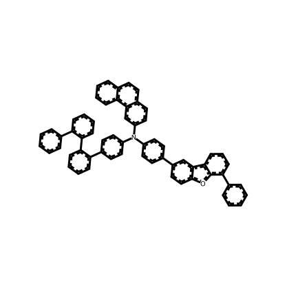 c1ccc(-c2ccccc2-c2ccccc2-c2ccc(N(c3ccc(-c4ccc5oc6c(-c7ccccc7)cccc6c5c4)cc3)c3ccc4ccc5ccccc5c4c3)cc2)cc1